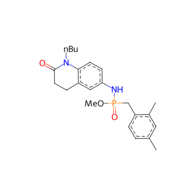 CCCCN1C(=O)CCc2cc(NP(=O)(Cc3ccc(C)cc3C)OC)ccc21